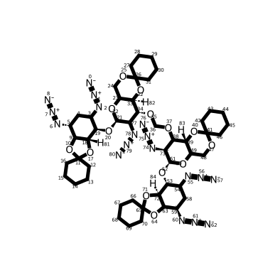 [N-]=[N+]=NC1C[C@@H](N=[N+]=[N-])C2OC3(CCCCC3)O[C@H]2[C@@H]1O[C@H]1OC2COC3(CCCCC3)O[C@H]2[C@H](OCOC2[C@@H]3OC4(CCCCC4)OCC3O[C@H](O[C@@H]3C(N=[N+]=[N-])C[C@@H](N=[N+]=[N-])C4OC5(CCCCC5)O[C@H]43)[C@H]2N=[N+]=[N-])C1N=[N+]=[N-]